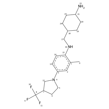 Cc1cc(N2CCC(C(F)(F)F)C2)ccc1NCC1CCC(N)CC1